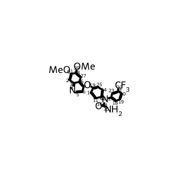 COc1cc2nccc(Oc3ccc(N(C(N)=O)c4cccc(C(F)(F)F)c4)cc3)c2cc1OC